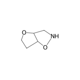 C1CC2ONCC2O1